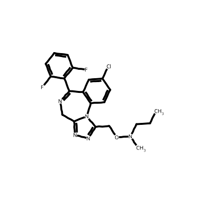 CCCN(C)OCc1nnc2n1-c1ccc(Cl)cc1C(c1c(F)cccc1F)=NC2